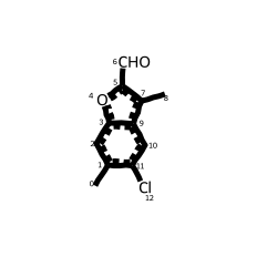 Cc1cc2oc(C=O)c(C)c2cc1Cl